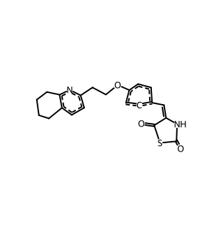 O=C1NC(=Cc2ccc(OCCc3ccc4c(n3)CCCC4)cc2)C(=O)S1